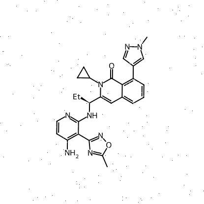 CC[C@H](Nc1nccc(N)c1-c1noc(C)n1)c1cc2cccc(-c3cnn(C)c3)c2c(=O)n1C1CC1